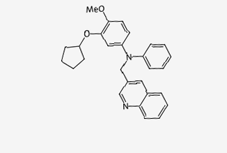 COc1ccc(N(Cc2cnc3ccccc3c2)c2ccccc2)cc1OC1CCCC1